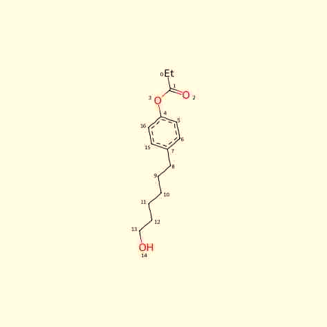 CCC(=O)Oc1ccc(CCCCCCO)cc1